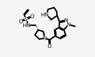 C=CS(=O)(=O)NC[C@H]1CCN(C(=O)c2ccc3c(c2)c(C2CCCNC2)nn3C)C1